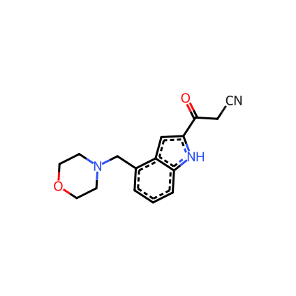 N#CCC(=O)c1cc2c(CN3CCOCC3)cccc2[nH]1